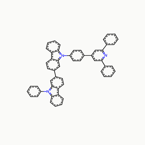 c1ccc(-c2cc(-c3ccc(-n4c5ccccc5c5ccc(-c6ccc7c8ccccc8n(-c8ccccc8)c7c6)cc54)cc3)cc(-c3ccccc3)n2)cc1